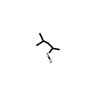 CC(C)CC(C)S[S]